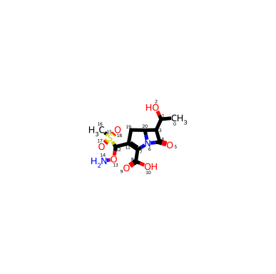 CC(O)C1C(=O)N2C(C(=O)O)=C(C(ON)S(C)(=O)=O)CC12